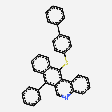 c1ccc(-c2ccc(Sc3c4ccccc4c(-c4ccccc4)c4cnc5ccccc5c34)cc2)cc1